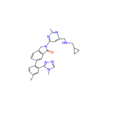 Cc1nc(CNCC2CC2)cc(N2Cc3ccc(-c4ccc(F)cc4-c4nncn4C)cc3C2=O)n1